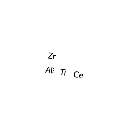 [Al].[Ce].[Ti].[Zr]